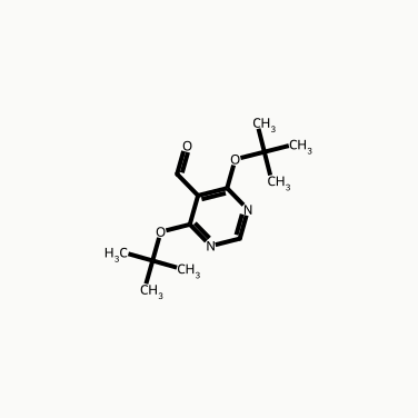 CC(C)(C)Oc1ncnc(OC(C)(C)C)c1C=O